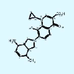 CC1C=CC(N)C2CN(c3ccc4c(=O)c(C(=O)O)cn(C5CC5)c4c3F)CC12